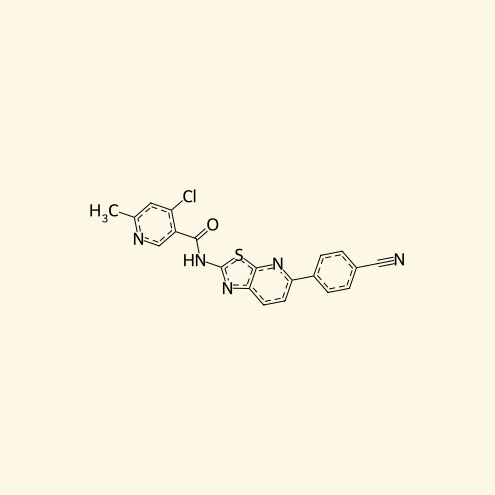 Cc1cc(Cl)c(C(=O)Nc2nc3ccc(-c4ccc(C#N)cc4)nc3s2)cn1